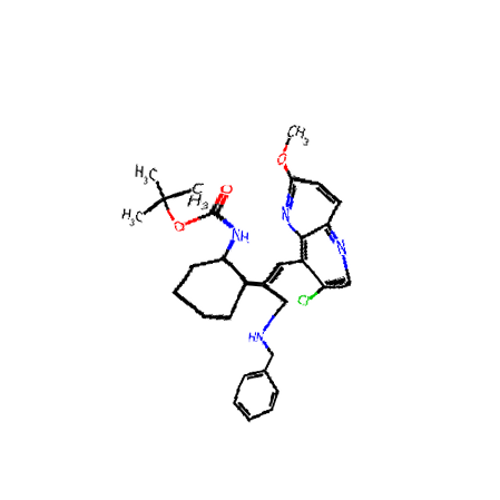 COc1ccc2ncc(Cl)c(C=C(CNCc3ccccc3)C3CCCCC3NC(=O)OC(C)(C)C)c2n1